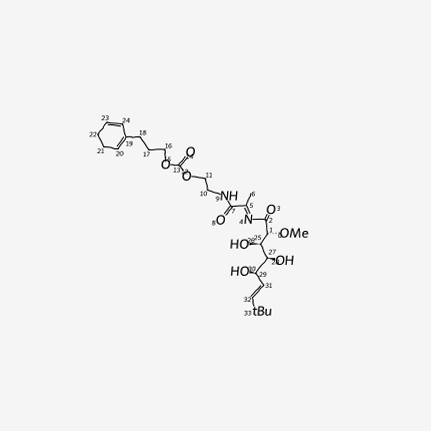 CO[C@@H](C(=O)/N=C(\C)C(=O)NCCOC(=O)OCCCC1=CCCC=C1)[C@H](O)[C@@H](O)[C@H](O)/C=C/C(C)(C)C